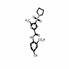 Cc1sc(C(=O)Nc2ccc(C#N)cc2C(=O)O)cc1S(=O)(=O)N1CCCC1